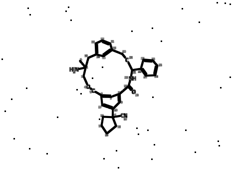 CC1(N)COCc2cc(cc(C3(C#N)CCCC3)c2)C(=O)NC(c2ccccc2)CCc2cccc(c2)C1